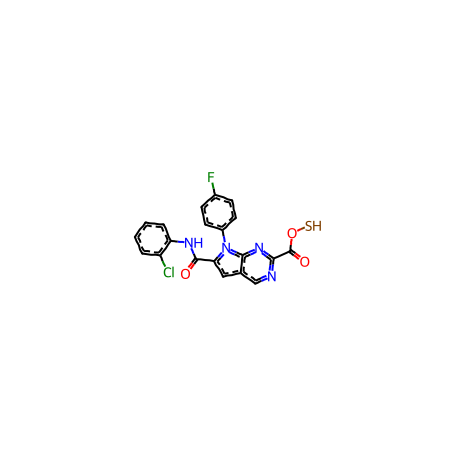 O=C(OS)c1ncc2cc(C(=O)Nc3ccccc3Cl)n(-c3ccc(F)cc3)c2n1